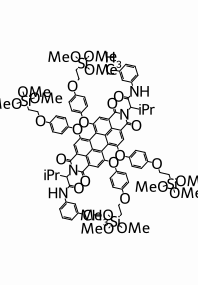 CO[Si](CCOc1ccc(Oc2cc3c4c(cc(Oc5ccc(OCC[Si](OC)(OC)OC)cc5)c5c6c(Oc7ccc(OCC[Si](OC)(OC)OC)cc7)cc7c8c(cc(Oc9ccc(OCC[Si](OC)(OC)OC)cc9)c(c2c45)c86)C(=O)N(C(C(=O)Nc2cccc(C)c2)C(C)C)C7=O)C(=O)N(C(C(=O)Nc2cccc(C)c2)C(C)C)C3=O)cc1)(OC)OC